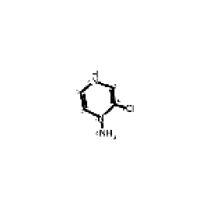 NN1C=CNC=C1Cl